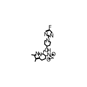 Cc1nn2c(c1C)CC[C@H](NS(C)(=O)=O)[C@@H]2COC1CCN(c2ncc(F)cn2)CC1